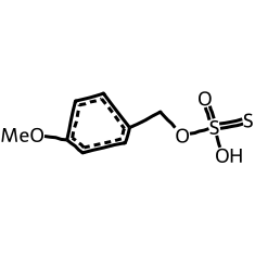 COc1ccc(COS(=O)(O)=S)cc1